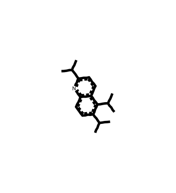 CC(C)c1ccc2c(C(C)C)c(C(C)C)ccc2n1